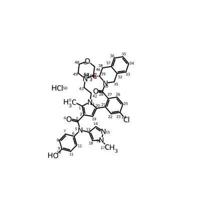 Cc1c(C(=O)N(c2ccc(O)cc2)c2cnn(C)c2)cc(-c2cc(Cl)ccc2C(=O)N2Cc3ccccc3C[C@H]2C)n1CCN1CCOCC1.Cl